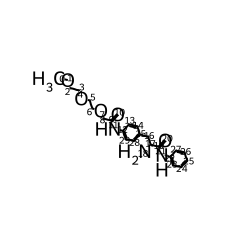 COCCOCCOCC(=O)Nc1ccc(C[C@H](N)C(=O)Nc2ccccc2)cc1